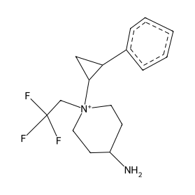 NC1CC[N+](CC(F)(F)F)(C2CC2c2ccccc2)CC1